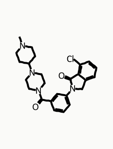 CN1CCC(N2CCN(C(=O)c3cccc(N4Cc5cccc(Cl)c5C4=O)c3)CC2)CC1